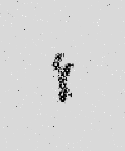 O=C(O)CN1CCC(C=C=C=NC(=O)[C@@H](Cc2ccc(O)c(Br)c2)OC(=O)N2CCC(N3CCc4ccccc4NC3=O)CC2)CC1